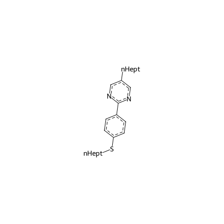 CCCCCCCSc1ccc(-c2ncc(CCCCCCC)cn2)cc1